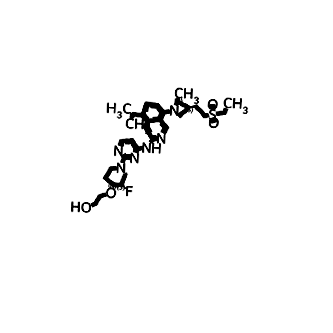 CCS(=O)(=O)CC[C@H]1CN(c2ccc(C(C)C)c3cc(Nc4ccnc(N5CC[C@@H](OCCO)[C@@H](F)C5)n4)ncc23)[C@@H]1C